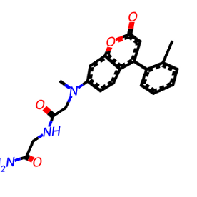 Cc1ccccc1-c1cc(=O)oc2cc(N(C)CC(=O)NCC(N)=O)ccc12